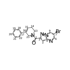 O=C(c1cc2ncc(Br)cn2n1)N1CCC=C(c2ccccc2)C1